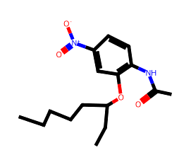 CCCCCC(CC)Oc1cc([N+](=O)[O-])ccc1NC(C)=O